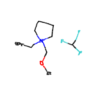 CCOC[N+]1(CC(C)C)CCCC1.FC(F)F